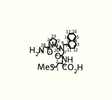 CSCCC(NC(=O)CN(Cc1cccc2ccccc12)C[C@@H]1CCCN1C(=O)CN)C(=O)O